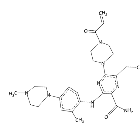 C=CC(=O)N1CCN(c2nc(Nc3ccc(N4CCN(C)CC4)cc3C)c(C(N)=O)nc2CC)CC1